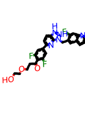 O=C(CCOCCO)c1c(F)cc(-c2ccc3c(n2)N(Cc2cc4cccnc4cc2F)NN3)cc1F